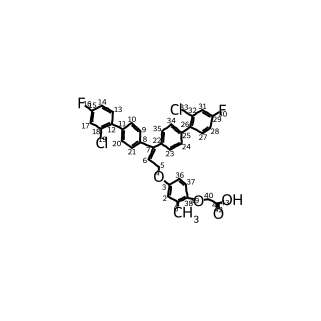 Cc1cc(OCC=C(c2ccc(-c3ccc(F)cc3Cl)cc2)c2ccc(-c3ccc(F)cc3Cl)cc2)ccc1OCC(=O)O